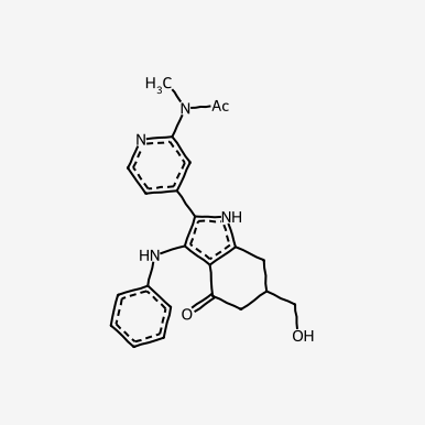 CC(=O)N(C)c1cc(-c2[nH]c3c(c2Nc2ccccc2)C(=O)CC(CO)C3)ccn1